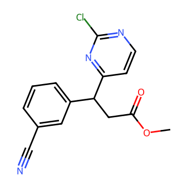 COC(=O)CC(c1cccc(C#N)c1)c1ccnc(Cl)n1